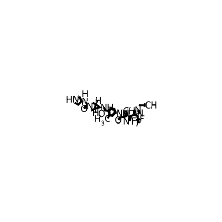 C#CCn1cc(-c2cnc(C(=O)Nc3ccc(C(=O)N[C@H]4[C@@H]5CN(C(=O)N[C@H]6CCNC6)C[C@@H]54)c(C)c3)n2C)c(C(F)(F)F)n1